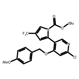 COc1ccc(COc2cc(Cl)ncc2-c2cc(C(F)(F)F)cn2C(=O)OC(C)(C)C)cc1